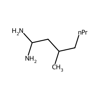 CCCCC(C)CC(N)N